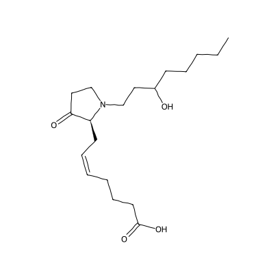 CCCCCC(O)CCN1CCC(=O)[C@@H]1C/C=C\CCCC(=O)O